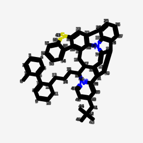 Cc1ccccc1C1=CC=CCC1CCCC1C2Cc3c4c(cc5c6cccc7c8cc(c2cc8n(c35)c76)-c2cc(CC(C)(C)C)cc[n+]21)sc1ccccc14